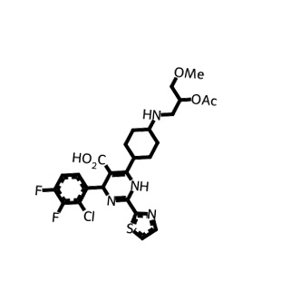 COCC(CNC1CCC(C2=C(C(=O)O)C(c3ccc(F)c(F)c3Cl)N=C(c3nccs3)N2)CC1)OC(C)=O